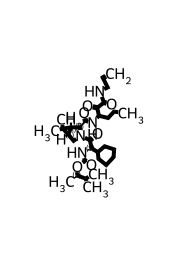 C=CCNC(=O)C(=O)C(CCC)NC(=O)[C@@H]1[C@@H]2[C@H](CN1C(=O)[C@@H](NC(=O)O[C@@H](C)C(C)C)C1CCCCC1)C2(C)C